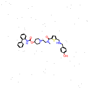 CN(CCN1CCC(OC(=O)Nc2ccccc2-c2ccccc2)CC1)C(=O)c1ccc(CNCc2ccc(O)cc2)s1